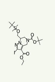 CCOC(=O)c1c(I)nn2c1CN(C(=O)OC(C)(C)C)CC2CO[Si](C)(C)C(C)(C)C